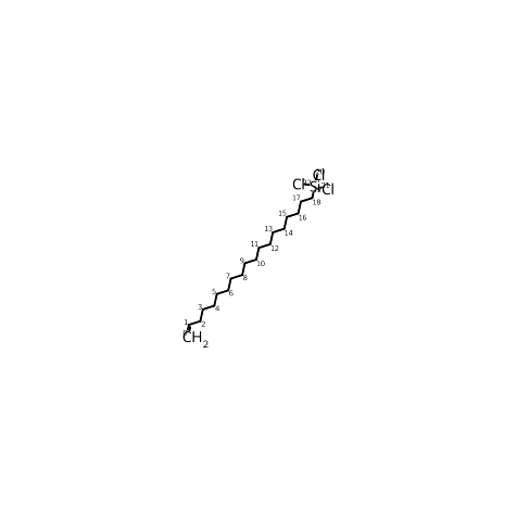 C=CCCCCCCCCCCCCCCCCC[Si](Cl)(Cl)Cl